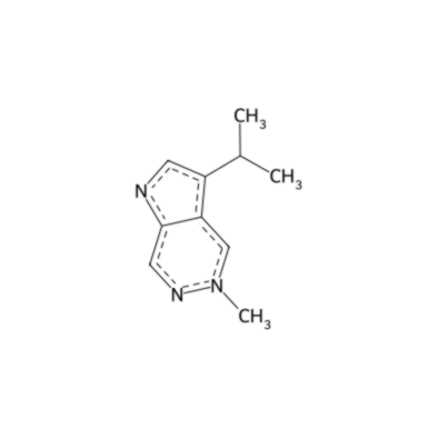 CC(C)c1cnc2cnn(C)cc1-2